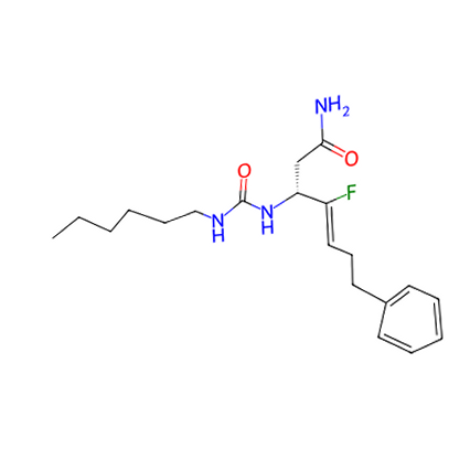 CCCCCCNC(=O)N[C@H](CC(N)=O)/C(F)=C/CCc1ccccc1